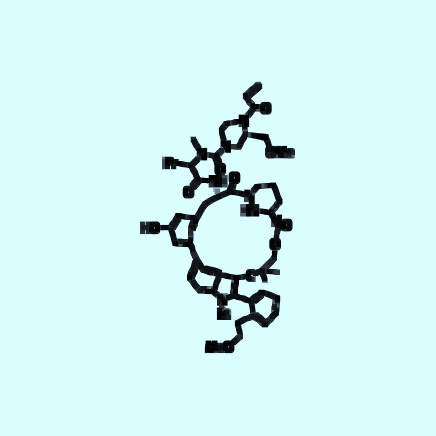 C=CC(=O)N1CCN(C(=O)N(C)C(C(=O)N[C@H]2Cc3cc(O)cc(c3)-c3ccc4c(c3)c(c(-c3ccccc3CCOC)n4CC)CC(C)(C)COC(=O)[C@@H]3CCCN(N3)C2=O)C(C)C)C[C@@H]1COC